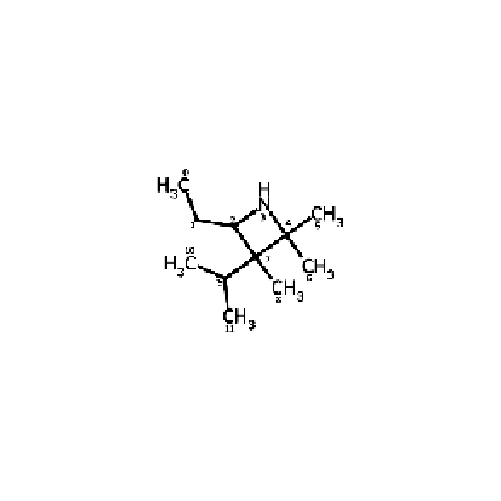 CCC1NC(C)(C)C1(C)C(C)C